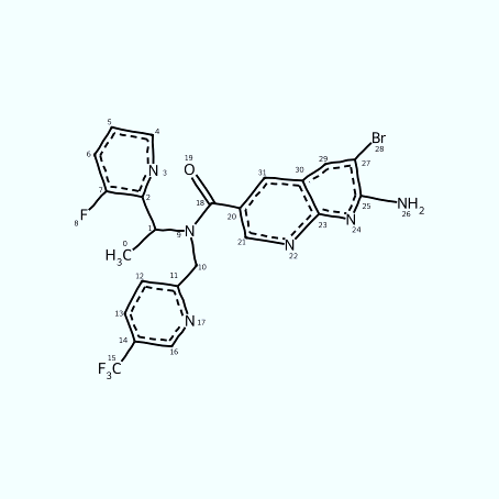 CC(c1ncccc1F)N(Cc1ccc(C(F)(F)F)cn1)C(=O)c1cnc2nc(N)c(Br)cc2c1